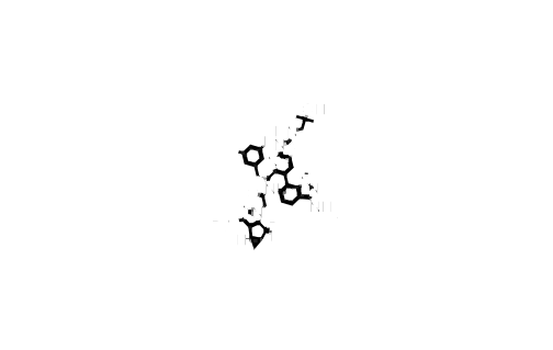 Cn1nc(N)c2cccc(-c3cc4sc(NCC(C)(C)O)nc4nc3[C@H](Cc3cc(F)cc(F)c3)NC(=O)Cn3nc(C(F)(F)F)c4c3C(F)(F)C3C[C@H]43)c21